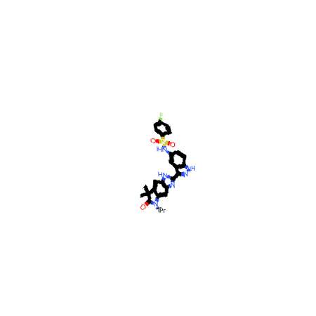 CC(C)N1C(=O)C(C)(C)c2cc3[nH]c(-c4n[nH]c5ccc(NS(=O)(=O)c6ccc(F)cc6)cc45)nc3cc21